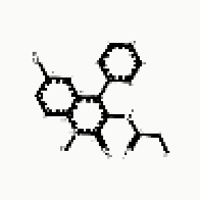 CCC(=O)Oc1c(-c2ccccc2)c2cc(Cl)ccc2n(C)c1=O